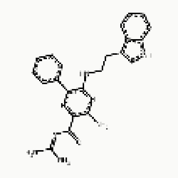 NC(N)=NC(=O)c1nc(-c2ccccc2)c(NCCc2c[nH]c3ccccc23)nc1N